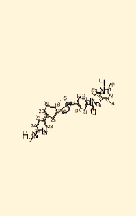 Cc1cc(C)c(CNC(=O)c2ccc([C@@H](C)Oc3cccc(-c4ccc(N)nc4)c3)cc2)c(=O)[nH]1